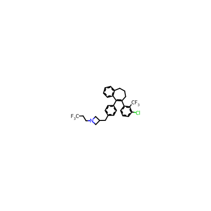 FC(F)(F)CCN1CC(Cc2ccc(C3=C(c4cccc(Cl)c4C(F)(F)F)CCCc4ccccc43)cc2)C1